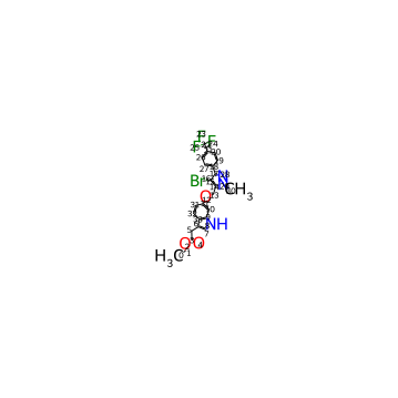 CCOC(=O)Cc1c[nH]c2cc(OCc3c(Br)c(-c4ccc(C(F)(F)F)cc4)nn3C)ccc12